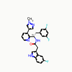 Cn1cc(-c2cccnc2[C@H](Cc2cc(F)cc(F)c2)NC(=O)Cc2c[nH]c3ccc(F)cc23)cn1